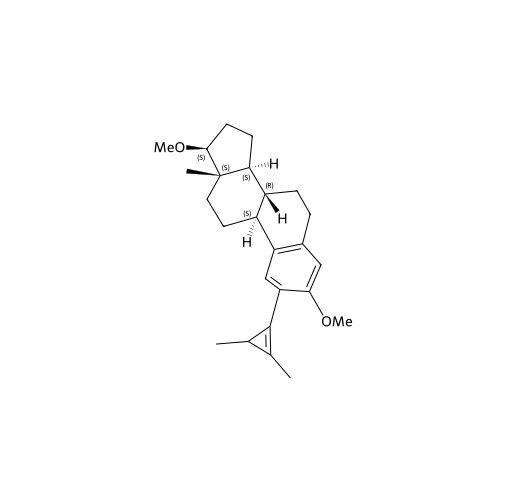 COc1cc2c(cc1C1=C(C)C1C)[C@H]1CC[C@]3(C)[C@@H](OC)CC[C@H]3[C@@H]1CC2